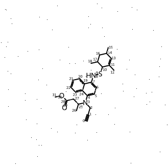 C#CCN(c1ccc(NSC2C(C)=CC(C)CC2C)c2ccccc12)C(C)CC(=O)OC